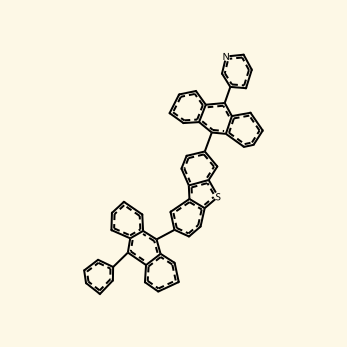 c1ccc(-c2c3ccccc3c(-c3ccc4sc5cc(-c6c7ccccc7c(-c7cccnc7)c7ccccc67)ccc5c4c3)c3ccccc23)cc1